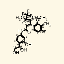 COc1c([C@@H]2[C@@H](C(=O)Nc3ccc([C@H](O)CO)[n+](O)c3)O[C@](C)(C(F)(F)F)[C@@H]2C)ccc(F)c1C